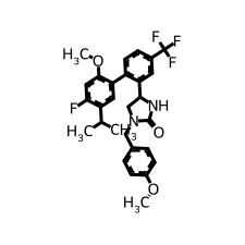 COc1ccc(CN2CC(c3cc(C(F)(F)F)ccc3-c3cc(C(C)C)c(F)cc3OC)NC2=O)cc1